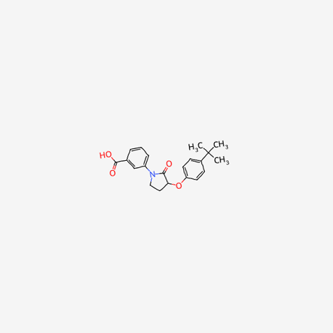 CC(C)(C)c1ccc(OC2CCN(c3cccc(C(=O)O)c3)C2=O)cc1